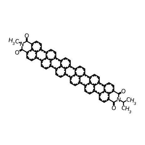 CC(C)N1C(=O)c2ccc3c4ccc5c6ccc7c8ccc9c%10ccc%11c%12ccc%13c%14c(ccc(c%15ccc(c%16ccc(c%17ccc(c%18ccc(c%19ccc(c2c3%19)C1=O)c4c5%18)c6c7%17)c8c9%16)c%10c%11%15)c%14%12)C(=O)N(C)C%13=O